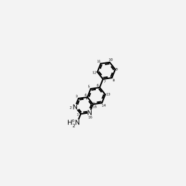 Nc1ncc2cc(-c3ccccc3)ccc2n1